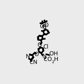 Cc1c(COc2cc(OCc3cncc(C#N)c3)c(CN(CCO)C(=O)O)cc2Cl)cccc1-c1cccc(B2OC(C)(C)C(C)(C)O2)c1C